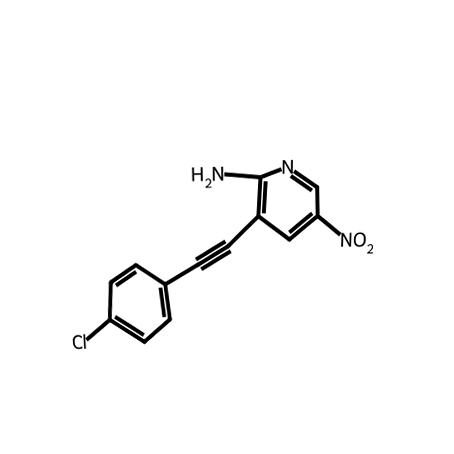 Nc1ncc([N+](=O)[O-])cc1C#Cc1ccc(Cl)cc1